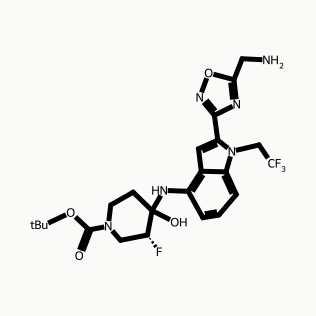 CC(C)(C)OC(=O)N1CCC(O)(Nc2cccc3c2cc(-c2noc(CN)n2)n3CC(F)(F)F)[C@H](F)C1